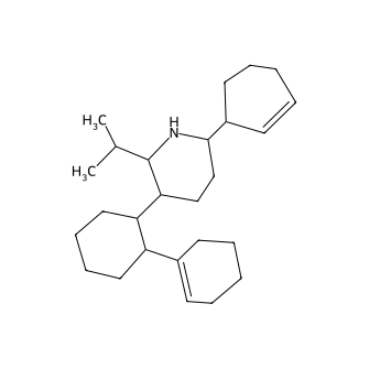 CC(C)C1NC(C2C=CCCC2)CCC1C1CCCCC1C1=CCCCC1